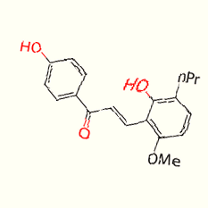 CCCc1ccc(OC)c(/C=C/C(=O)c2ccc(O)cc2)c1O